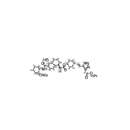 CCCOC(=O)Cn1nnnc1SCc1ccc(OC(=O)Nc2cccc3c(O)c(C(=O)Nc4ccccc4OC)ccc23)cc1